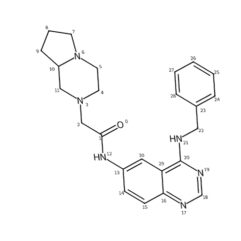 O=C(CN1CCN2CCCC2C1)Nc1ccc2ncnc(NCc3ccccc3)c2c1